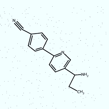 CCC(N)c1ccc(-c2ccc(C#N)cc2)nc1